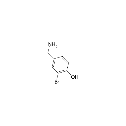 NCc1ccc(O)c(Br)c1